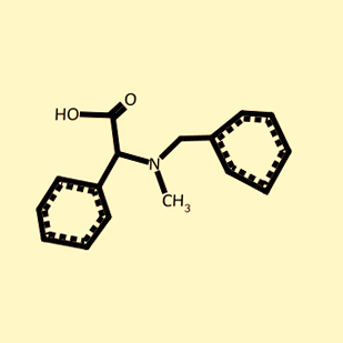 CN(Cc1ccccc1)C(C(=O)O)c1ccccc1